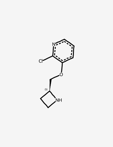 Clc1ncccc1OC[C@@H]1CCN1